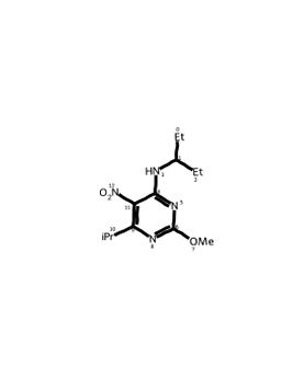 CCC(CC)Nc1nc(OC)nc(C(C)C)c1[N+](=O)[O-]